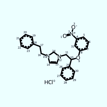 Cl.O=[N+]([O-])c1cccc(OC(CN2C=CN(CCc3ccccc3)C2)c2ccccc2)c1